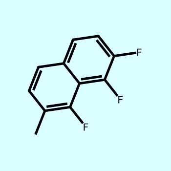 Cc1ccc2ccc(F)c(F)c2c1F